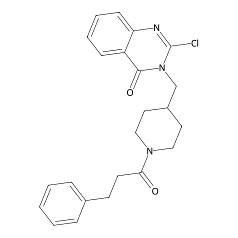 O=C(CCc1ccccc1)N1CCC(Cn2c(Cl)nc3ccccc3c2=O)CC1